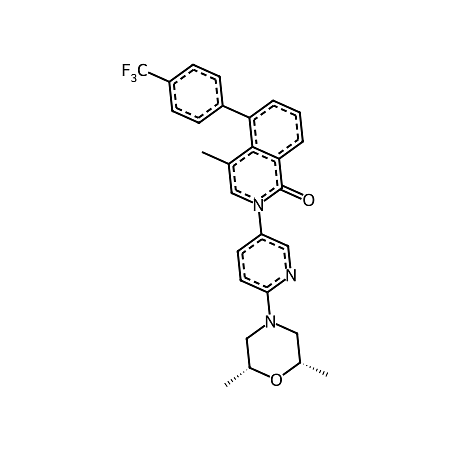 Cc1cn(-c2ccc(N3C[C@@H](C)O[C@@H](C)C3)nc2)c(=O)c2cccc(-c3ccc(C(F)(F)F)cc3)c12